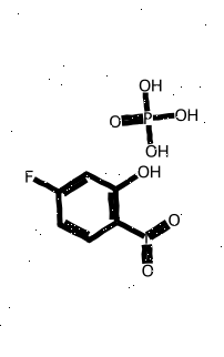 O=I(=O)c1ccc(F)cc1O.O=P(O)(O)O